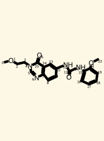 COCCn1cnc2ccc(NC(=O)Nc3ccccc3OC)cc2c1=O